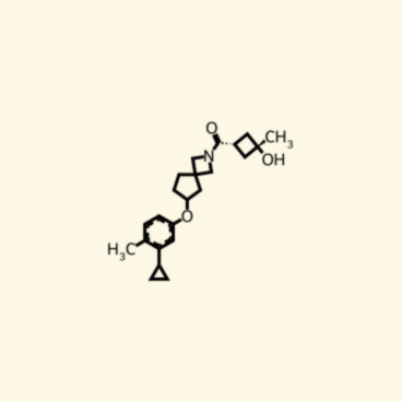 Cc1ccc(OC2CCC3(C2)CN(C(=O)[C@H]2C[C@@](C)(O)C2)C3)cc1C1CC1